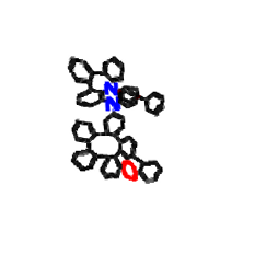 c1ccc(-c2cccc(N(c3ccc4c(c3)c3ccccc3c3ccccc3c3ccccc3c3c4ccc4c5ccccc5oc43)c3cccc4c3N(c3ccccc3)c3ccccc3-c3ccccc3-4)c2)cc1